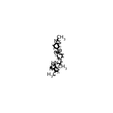 Cc1nc2ccc(S(=O)(=O)N3CCN(C[C@H](C)Nc4ncnc5c(C)csc45)CC3)cc2s1